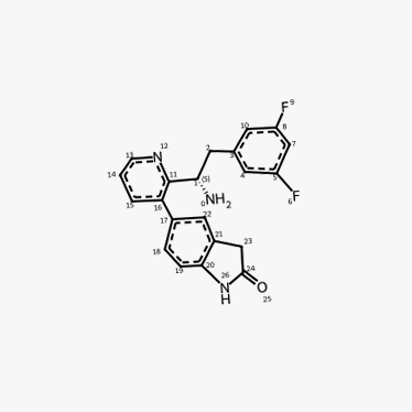 N[C@@H](Cc1cc(F)cc(F)c1)c1ncccc1-c1ccc2c(c1)CC(=O)N2